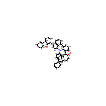 c1ccc(-c2ccc(N(c3ccc(-c4cccc5c4oc4ccccc45)cc3)c3c(-c4ccccc4)ccc4oc5ccc6ccccc6c5c34)cc2)cc1